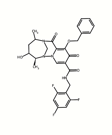 CC1CC(O)[C@H](C)N2CN1C(=O)c1c(OCc3ccccc3)c(=O)c(C(=O)NCc3c(F)cc(F)cc3F)cn12